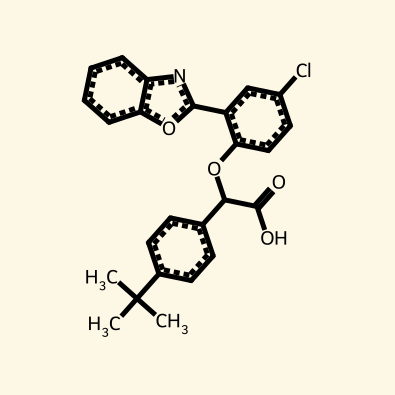 CC(C)(C)c1ccc(C(Oc2ccc(Cl)cc2-c2nc3ccccc3o2)C(=O)O)cc1